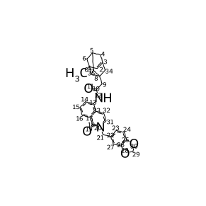 CC12C=C3CC(C1)CC(CC(=O)Nc1cccc4c(=O)n(Cc5ccc6c(c5)OCO6)ccc14)(C3)C2